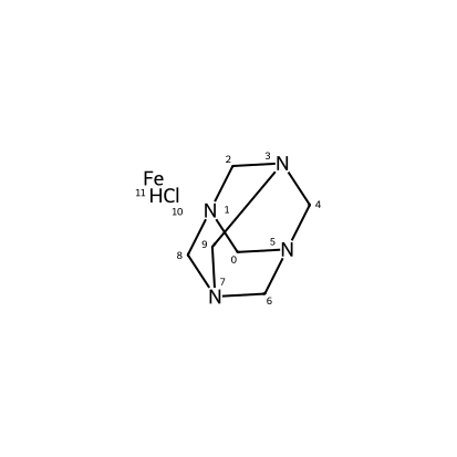 C1N2CN3CN1CN(C2)C3.Cl.[Fe]